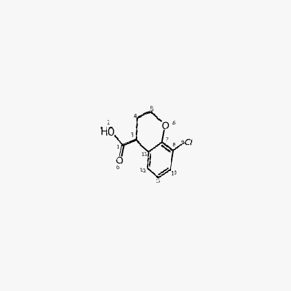 O=C(O)C1CCOc2c(Cl)cccc21